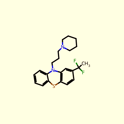 CC(F)(F)c1ccc2c(c1)N(CCCN1CCCCC1)c1ccccc1S2